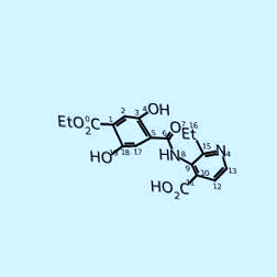 CCOC(=O)c1cc(O)c(C(=O)Nc2c(C(=O)O)ccnc2CC)cc1O